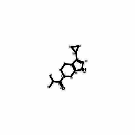 CC(C)C(=O)N1CCc2c(C3CC3)n[nH]c2C1